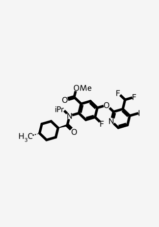 COC(=O)c1cc(Oc2nccc(I)c2C(F)F)c(F)cc1N(C(=O)[C@H]1CC[C@H](C)CC1)C(C)C